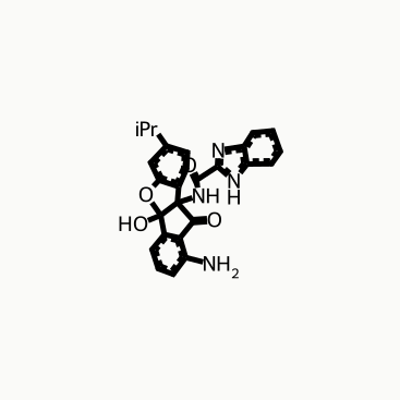 CC(C)c1ccc2c(c1)OC1(O)c3cccc(N)c3C(=O)C21NC(=O)c1nc2ccccc2[nH]1